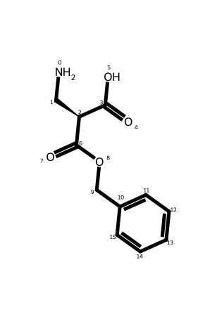 NC[C@@H](C(=O)O)C(=O)OCc1ccccc1